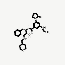 CCNc1cc(C(=O)N[C@@H](Cc2ccccc2)[C@H](O)CNCC2CCOCC2)cc(N2CCCC2=O)c1